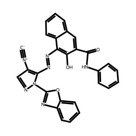 [C-]#[N+]c1cnn(-c2nc3ccccc3o2)c1/N=N/c1c(O)c(C(=O)Nc2ccccc2)cc2ccccc12